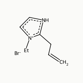 C=CCc1[nH]cc[n+]1CC.[Br-]